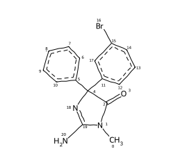 CN1C(=O)C(c2cc[c]cc2)(c2cccc(Br)c2)N=C1N